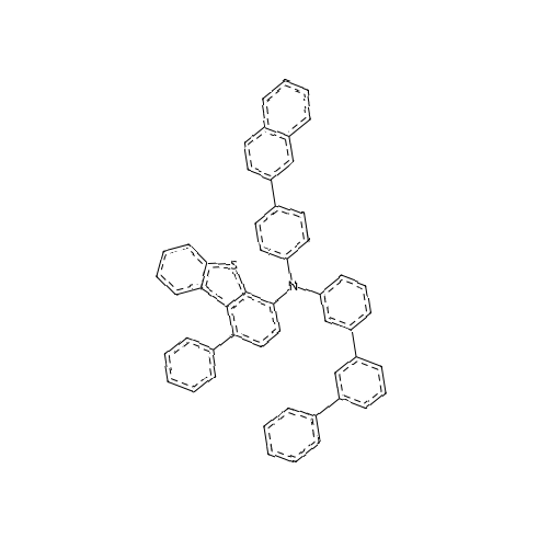 c1ccc(-c2cccc(-c3cccc(N(c4ccc(-c5ccc6ccccc6c5)cc4)c4ccc(-c5ccccc5)c5c4sc4ccccc45)c3)c2)cc1